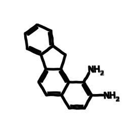 Nc1ccc2ccc3c(c2c1N)Cc1ccccc1-3